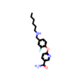 CCCCCCNCc1ccc(Oc2ccc(C(N)=O)cn2)c(F)c1